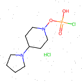 Cl.O=P(O)(Cl)ON1CCC(N2CCCC2)CC1